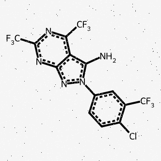 Nc1c2c(C(F)(F)F)nc(C(F)(F)F)nc2nn1-c1ccc(Cl)c(C(F)(F)F)c1